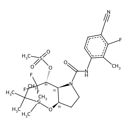 Cc1c(NC(=O)N2CC[C@@H](O[Si](C)(C)C(C)(C)C)[C@H]2[C@@H](OS(C)(=O)=O)C(F)(F)F)ccc(C#N)c1F